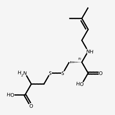 CC(C)=CCN[C@@H](CSSCC(N)C(=O)O)C(=O)O